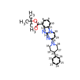 CC(C)(C)OC(=O)c1cccc2c1nc1nc(N3CCC(c4ccccc4)CC3)ccn12